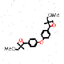 COCC1(C)COC1c1ccc(Oc2ccc(C3OCC3(C)COC)cc2)cc1